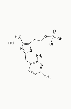 Cc1ncc(Cc2nc(C)c(CCOP(=O)(O)O)s2)c(N)n1.Cl